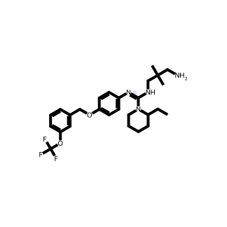 CCC1CCCCN1/C(=N\c1ccc(OCc2cccc(OC(F)(F)F)c2)cc1)NCC(C)(C)CN